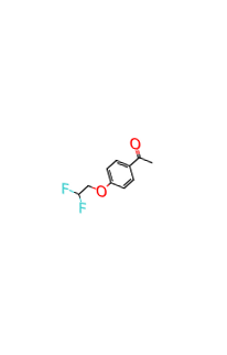 CC(=O)c1ccc(OCC(F)F)cc1